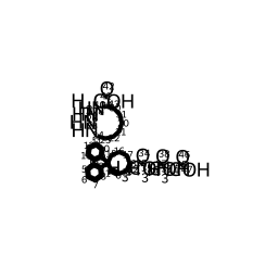 C1#CC(c2ccccc2)(c2ccccc2)CCCCC1.C1CCCCNNNNCCC1.CC(=O)O.CC(=O)O.CC(=O)O.CC(=O)O